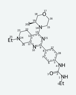 CCNC(=O)Nc1ccc(-c2nc3c(c(N4CCOC[C@@H]4I)n2)CCN(CC)C3)cc1